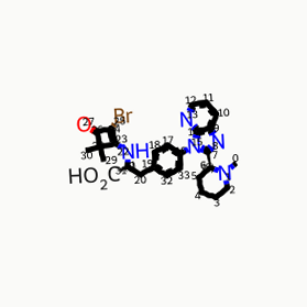 CN1CCCC[C@H]1c1nc2cccnc2n1-c1ccc(C[C@H](NC2=C(Br)C(=O)C2(C)C)C(=O)O)cc1